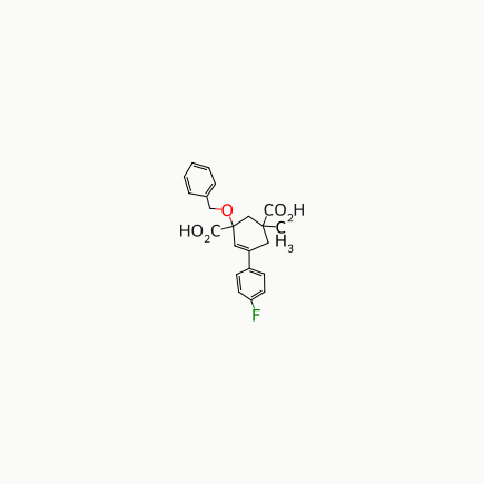 CC1(C(=O)O)CC(c2ccc(F)cc2)=CC(OCc2ccccc2)(C(=O)O)C1